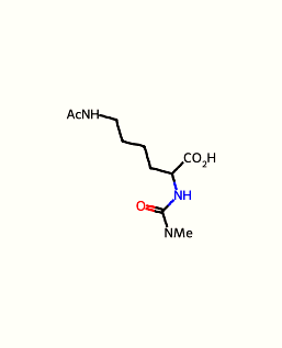 CNC(=O)NC(CCCCNC(C)=O)C(=O)O